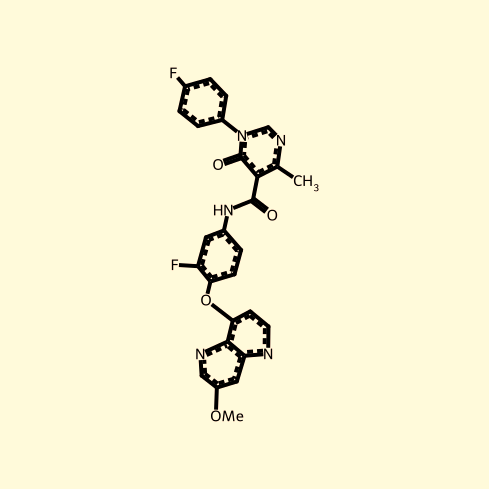 COc1cnc2c(Oc3ccc(NC(=O)c4c(C)ncn(-c5ccc(F)cc5)c4=O)cc3F)ccnc2c1